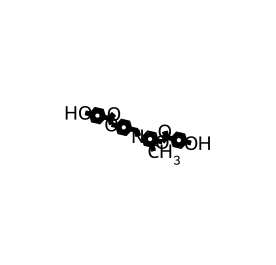 Cc1cc(/N=C/c2ccc(OC(=O)c3ccc(O)cc3)cc2)ccc1OC(=O)c1ccc(O)cc1